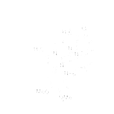 COc1cc2c(CC(C)N3CCN(c4cccc(Cl)c4C)CC3)nn(Cc3cccnc3)c2cc1OC